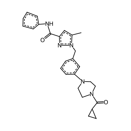 Cc1cc(C(=O)Nc2ccccc2)nn1Cc1cccc(N2CCN(C(=O)C3CC3)CC2)c1